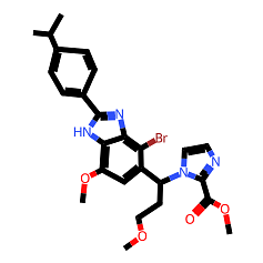 COCCC(c1cc(OC)c2[nH]c(-c3ccc(C(C)C)cc3)nc2c1Br)n1ccnc1C(=O)OC